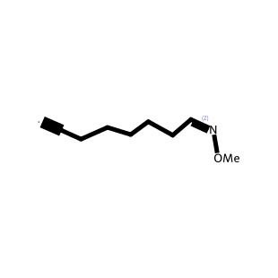 [C]#CCCCCC/C=N\OC